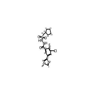 Cn1cnc(-c2cc(Cl)c(F)c(C(=O)NNS(=O)(=O)CC3CCCC3)c2)c1